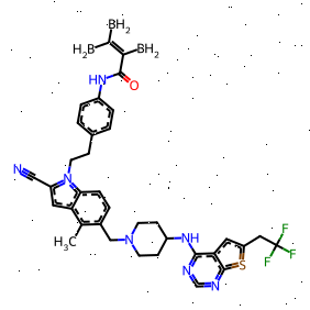 BC(B)=C(B)C(=O)Nc1ccc(CCn2c(C#N)cc3c(C)c(CN4CCC(Nc5ncnc6sc(CC(F)(F)F)cc56)CC4)ccc32)cc1